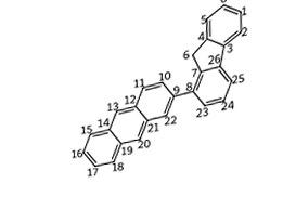 c1ccc2c(c1)Cc1c(-c3ccc4cc5ccccc5cc4c3)cccc1-2